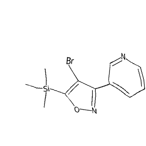 C[Si](C)(C)c1onc(-c2cccnc2)c1Br